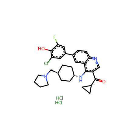 Cl.Cl.O=C(c1cnc2ccc(-c3cc(F)c(O)c(Cl)c3)cc2c1N[C@H]1CC[C@H](CN2CCCC2)CC1)C1CC1